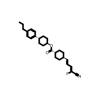 CCCc1ccc([C@H]2CC[C@H](OC(=O)[C@H]3CC[C@H](C=CC=C(F)C#N)CC3)CC2)cc1